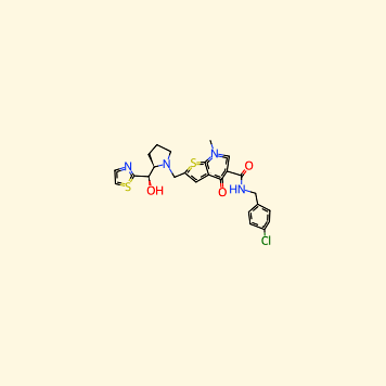 Cn1cc(C(=O)NCc2ccc(Cl)cc2)c(=O)c2cc(CN3CCC[C@@H]3[C@@H](O)c3nccs3)sc21